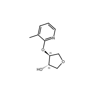 Cc1cccnc1O[C@H]1COC[C@@H]1O